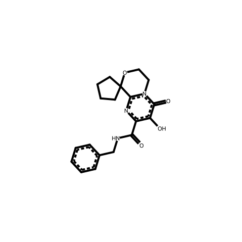 O=C(NCc1ccccc1)c1nc2n(c(=O)c1O)CCOC21CCCC1